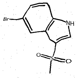 CS(=O)(=O)c1c[nH]c2ccc(Br)cc12